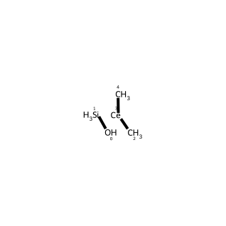 O[SiH3].[CH3][Ce][CH3]